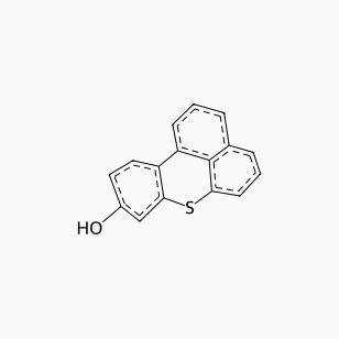 Oc1ccc2c(c1)Sc1cccc3cccc-2c13